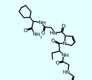 CCC(NC(=O)CNC=O)C(=O)N1CC=CC1C(=O)NCC(=O)NC(C(N)=O)C1CCCCC1